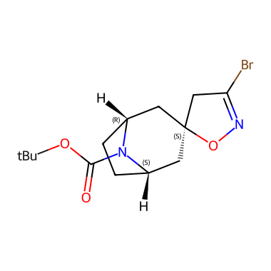 CC(C)(C)OC(=O)N1[C@@H]2CC[C@H]1C[C@@]1(CC(Br)=NO1)C2